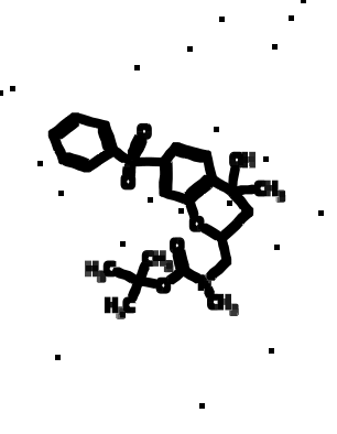 CN(CC1CC(C)(O)c2ccc(S(=O)(=O)c3ccccc3)cc2O1)C(=O)OC(C)(C)C